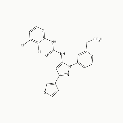 O=C(O)Cc1cccc(-n2nc(-c3ccsc3)cc2NC(=O)Nc2cccc(Cl)c2Cl)c1